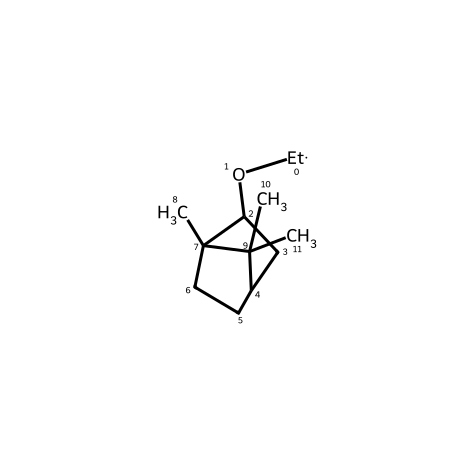 C[CH]OC1CC2CCC1(C)C2(C)C